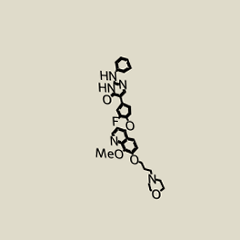 COc1c(OCCCN2CCOCC2)ccc2c(Oc3ccc(-c4cnc(Nc5ccccc5)[nH]c4=O)cc3F)ccnc12